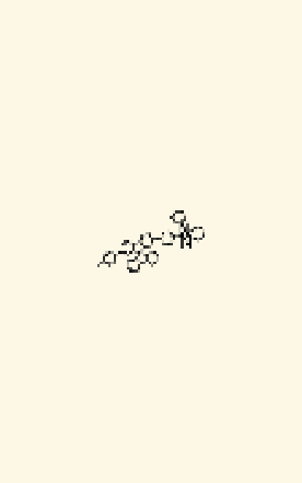 Cc1ccc(-c2ccc3c(c2)C2(c4cc(-c5ccc(-c6nc7ccccc7n6-c6ccccc6)cc5)ccc4-3)c3ccccc3C3C=CC=CC32)cc1